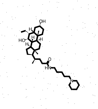 CC[C@H]1[C@@H](O)[C@@H]2[C@H](CC[C@]3(C)[C@@H]([C@H](C)CCC(=O)NCCCCCN4CCCCC4)CC[C@@H]23)[C@@]2(C)CC[C@@H](O)C[C@@H]12